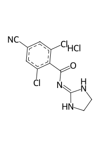 Cl.N#Cc1cc(Cl)c(C(=O)N=C2NCCN2)c(Cl)c1